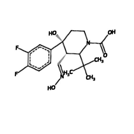 CC(C)(C)C1[C@H](C=NO)[C@@](O)(c2ccc(F)c(F)c2)CCN1C(=O)O